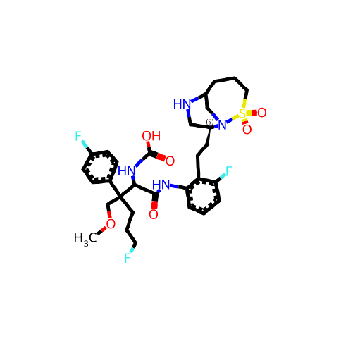 COCC(CCCF)(c1ccc(F)cc1)C(NC(=O)O)C(=O)Nc1cccc(F)c1CC[C@H]1CNC2CCCS(=O)(=O)N1C2